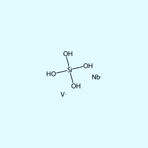 O[Si](O)(O)O.[Nb].[V]